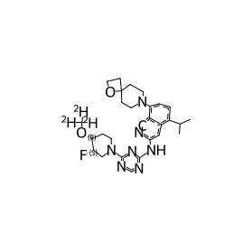 [2H]C([2H])([2H])O[C@@H]1CCN(c2ncnc(Nc3cc4c(C(C)C)ccc(N5CCC6(CCO6)CC5)c4cn3)n2)C[C@@H]1F